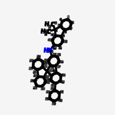 CC1(C)c2ccccc2-c2ccc(Nc3ccc4c(c3)C3(c5ccccc5-c5ccccc53)c3cc(-c5ccccc5)ccc3-4)cc21